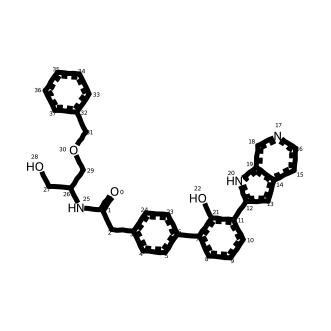 O=C(Cc1ccc(-c2cccc(-c3cc4ccncc4[nH]3)c2O)cc1)NC(CO)COCc1ccccc1